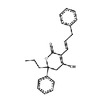 CCCC1(c2ccccc2)CC(O)=C(C=CCc2ccccc2)C(=O)O1